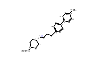 CCCCC[C@H]1CC[C@H](/C=C/CCc2ccc(-c3ccc(CCCC)cn3)cc2)CC1